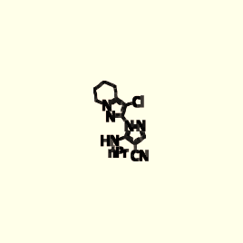 CCCNc1c(C#N)cnn1-c1nn2c(c1Cl)CCCC2